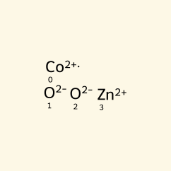 [Co+2].[O-2].[O-2].[Zn+2]